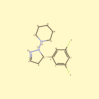 Fc1cc(F)cc([C@@H]2CC=NN2N2CC[CH]CC2)c1